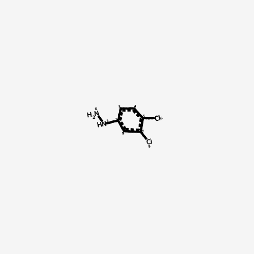 NNc1ccc(Cl)c(Cl)c1